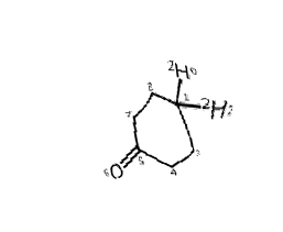 [2H]C1([2H])CCC(=O)CC1